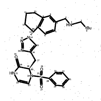 CC(C)(C)CNCc1ccc2c(c1)CCC[C@H]2n1cc(C[C@@H]2C(=O)NC=CN2S(=O)(=O)c2ccccc2)nn1